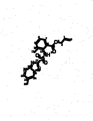 C=CCOC(=O)c1cccc(C)c1NS(=O)(=O)c1nc2ncc(C)cn2n1